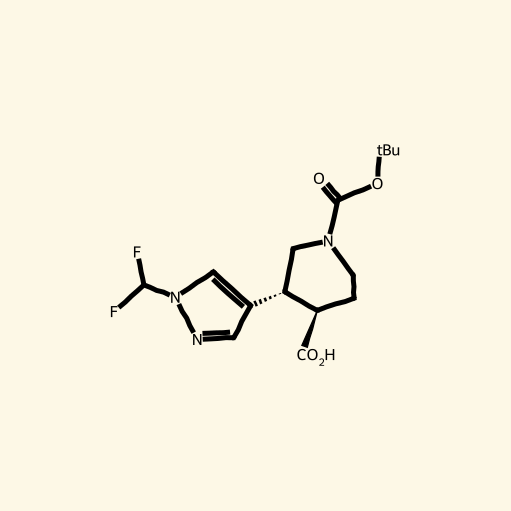 CC(C)(C)OC(=O)N1CC[C@@H](C(=O)O)[C@H](c2cnn(C(F)F)c2)C1